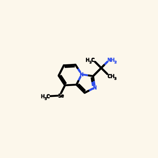 C[Se]c1cccn2c(C(C)(C)N)ncc12